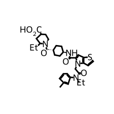 CCC1CC(C(=O)O)CCN1C(=O)[C@H]1CC[C@H](NC(=O)c2cc3sccc3n2CC(=O)N(CC)c2cccc(C)c2)CC1